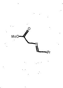 COC(=O)C/N=C/C(C)C